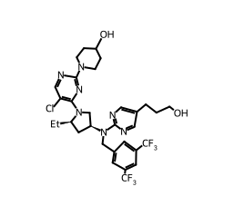 CC[C@@H]1C[C@H](N(Cc2cc(C(F)(F)F)cc(C(F)(F)F)c2)c2ncc(CCCO)cn2)CN1c1nc(N2CCC(O)CC2)ncc1Cl